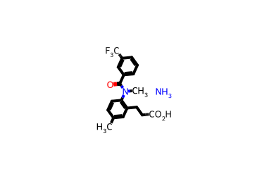 Cc1ccc(N(C)C(=O)c2cccc(C(F)(F)F)c2)c(CCC(=O)O)c1.N